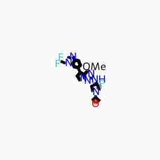 COc1nc(N[C@H]2CCN(C3COC3)C[C@@H]2F)nn2ccc(-c3ccc4ncn(CC(F)F)c4c3)c12